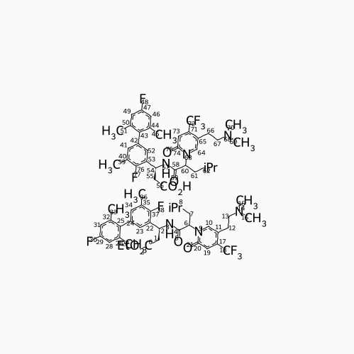 CCOC(=O)C[C@H](NC(=O)C(CC(C)C)n1cc(CCN(C)C)c(C(F)(F)F)cc1=O)c1cc(-c2c(C)cc(F)cc2C)cc(C)c1F.Cc1cc(-c2c(C)cc(F)cc2C)cc([C@H](CC(=O)O)NC(=O)C(CC(C)C)n2cc(CCN(C)C)c(C(F)(F)F)cc2=O)c1F